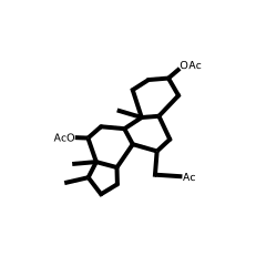 CC(=O)CC1CC2CC(OC(C)=O)CCC2(C)C2CC(OC(C)=O)C3(C)C(C)CCC3C12